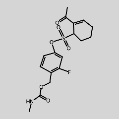 CNC(=O)OCc1ccc(OS(=O)(=O)C2CCCC=C2C(C)=O)cc1F